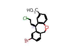 O=C(O)c1ccc2c(c1)/C(=C\CCl)c1cc(Br)ccc1CO2